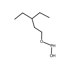 CCC(CC)CCOPO